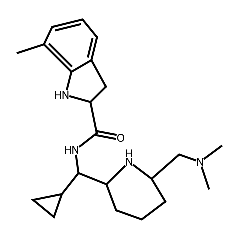 Cc1cccc2c1NC(C(=O)NC(C1CC1)C1CCCC(CN(C)C)N1)C2